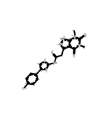 Cn1c(=O)c2c(CC(=O)Nc3nc(-c4ccc(Cl)cc4)cs3)n[nH]c2n(C)c1=O